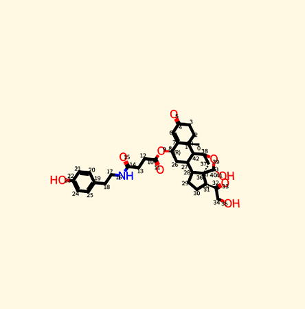 C[C@]12CCC(=O)C=C1[C@H](OC(=O)CCC(=O)NCCc1ccc(O)cc1)CC1C3CC[C@H](C(=O)CO)[C@@]34CC(O[C@@H]4O)C12